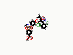 CCN(c1ccc(OCc2c(-c3c(Cl)cccc3Cl)noc2C(C)C)cc1)S(=O)(=O)c1ccc(C(=O)OC)cc1